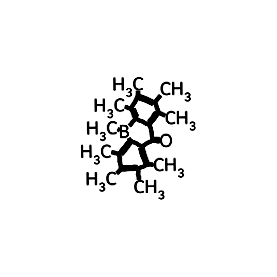 CB1c2c(C)c(C)c(C)c(C)c2C(=O)c2c(C)c(C)c(C)c(C)c21